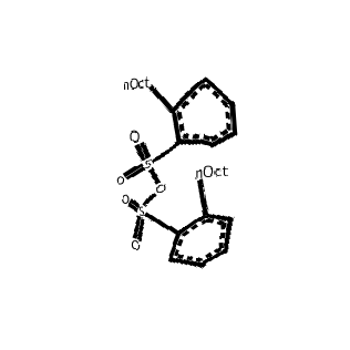 CCCCCCCCc1ccccc1S(=O)(=O)OS(=O)(=O)c1ccccc1CCCCCCCC